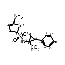 NC1=CCC(S(=O)(=O)NC2(C(=O)O)CC2c2ccccc2)S1